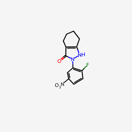 O=c1c2c([nH]n1-c1cc([N+](=O)[O-])ccc1F)CCCC2